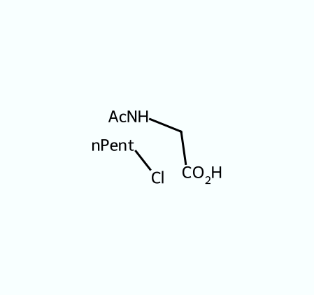 CC(=O)NCC(=O)O.CCCCCCl